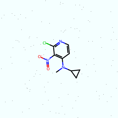 CN(c1ccnc(Cl)c1[N+](=O)[O-])C1CC1